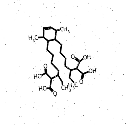 CCC(CCCCC1C(C)C=CC(C)C1CCCCC(CC)C(C(=O)O)C(=O)O)C(C(=O)O)C(=O)O